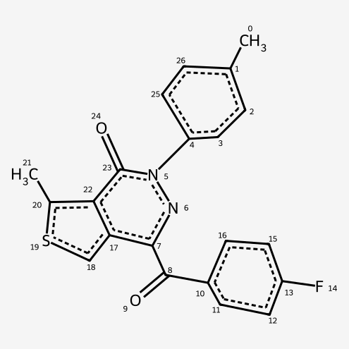 Cc1ccc(-n2nc(C(=O)c3ccc(F)cc3)c3csc(C)c3c2=O)cc1